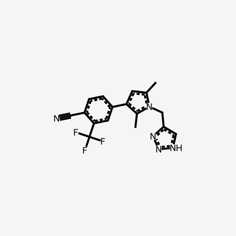 Cc1cc(-c2ccc(C#N)c(C(F)(F)F)c2)c(C)n1Cc1c[nH]nn1